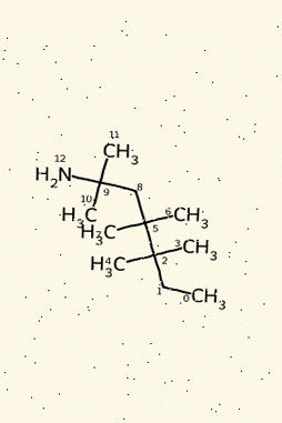 CCC(C)(C)C(C)(C)CC(C)(C)N